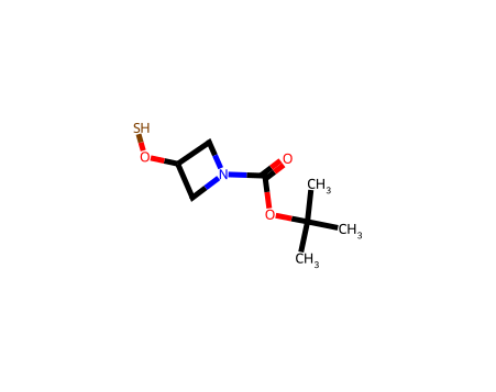 CC(C)(C)OC(=O)N1CC(OS)C1